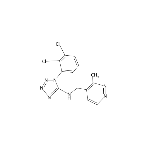 Cc1nnccc1CNc1nnnn1-c1cccc(Cl)c1Cl